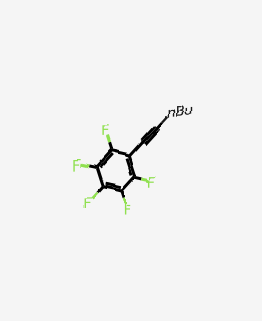 CCCCC#Cc1c(F)c(F)c(F)c(F)c1F